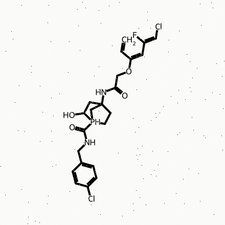 C=C/C(=C\C(F)=C\Cl)OCC(=O)NC12CC[PH](C(=O)NCc3ccc(Cl)cc3)(C1)C(O)C2